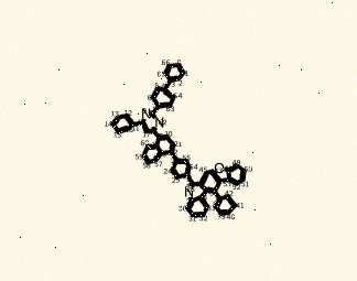 c1ccc(-c2ccc(-c3nc(-c4ccccc4)cc(-c4ccc(-c5ccc(-c6nc7ccccc7c7c(-c8ccccc8)c8c(cc67)oc6ccccc68)cc5)c5ccccc45)n3)cc2)cc1